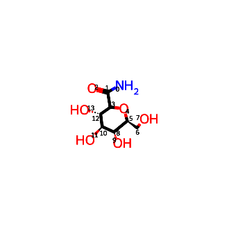 NC(=O)C1O[C@@H](CO)[C@H](O)[C@@H](O)[C@@H]1O